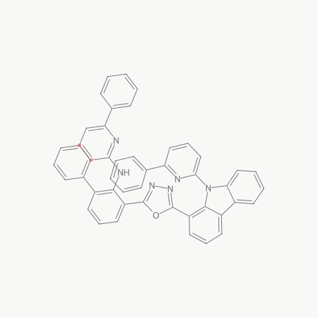 c1ccc(-c2cccc(Nc3c(-c4ccccc4)cccc3-c3nnc(-c4cccc5c6ccccc6n(-c6cccc(-c7ccccc7)n6)c45)o3)n2)cc1